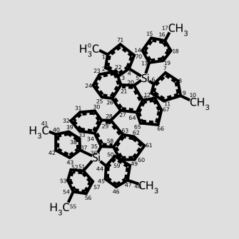 Cc1ccc([Si](c2ccc(C)cc2)(c2ccc(C)cc2)c2c3ccccc3c(-c3c4ccccc4c([Si](c4ccc(C)cc4)(c4ccc(C)cc4)c4ccc(C)cc4)c4ccccc34)c3ccccc23)cc1